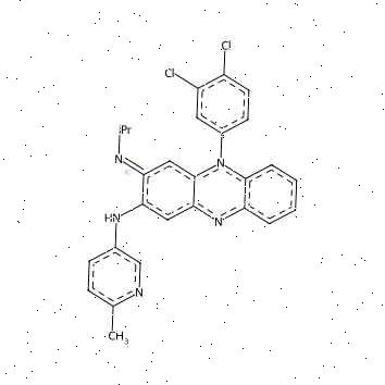 Cc1ccc(Nc2cc3nc4ccccc4n(-c4ccc(Cl)c(Cl)c4)c-3c/c2=N\C(C)C)cn1